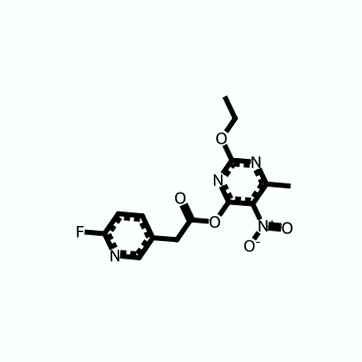 CCOc1nc(C)c([N+](=O)[O-])c(OC(=O)Cc2ccc(F)nc2)n1